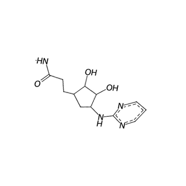 [NH]C(=O)CCC1CC(Nc2ncccn2)C(O)C1O